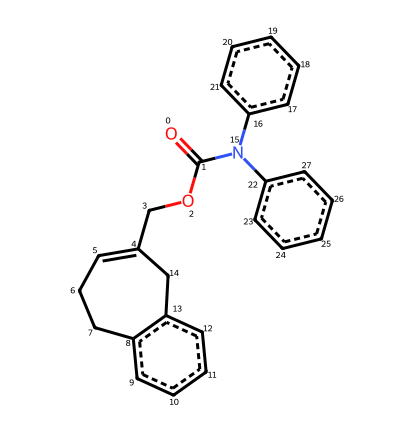 O=C(OCC1=CCCc2ccccc2C1)N(c1ccccc1)c1ccccc1